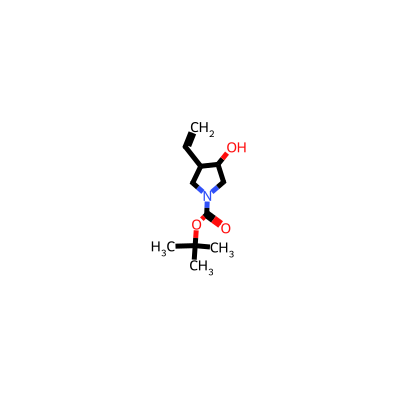 C=CC1CN(C(=O)OC(C)(C)C)CC1O